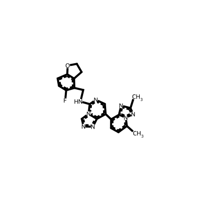 Cc1nc2c(-c3cnc(NCc4c(F)ccc5c4CCO5)n4cnnc34)ccc(C)n2n1